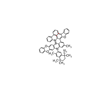 Cc1cc2c3c(c1)N(c1cc4c(cc1C)C(C)(C)CCC4(C)C)c1cc4c(cc1B3N(c1ccccc1-c1ccccc1)c1ccc3c(oc5ccccc53)c1-2)Oc1ccccc1O4